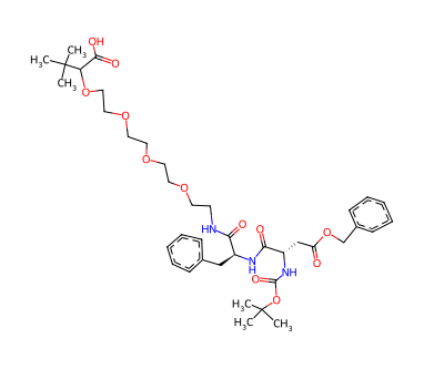 CC(C)(C)OC(=O)N[C@@H](CC(=O)OCc1ccccc1)C(=O)N[C@@H](Cc1ccccc1)C(=O)NCCOCCOCCOCCOC(C(=O)O)C(C)(C)C